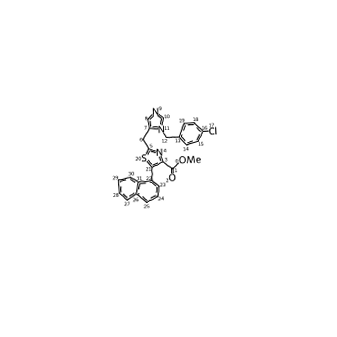 COC(=O)c1nc(Cc2cncn2Cc2ccc(Cl)cc2)sc1-c1cccc2ccccc12